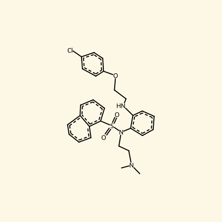 CN(C)CCN(c1ccccc1NCCOc1ccc(Cl)cc1)S(=O)(=O)c1cccc2ccccc12